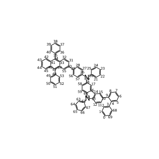 c1ccc(-c2ccccc2-c2ccc3c(c2)c2cc(N(c4ccccc4)c4ccc(-c5ccc6c(-c7ccccc7)c7ccccc7c(-c7ccccc7)c6c5)cc4)ccc2n3-c2ccccc2)cc1